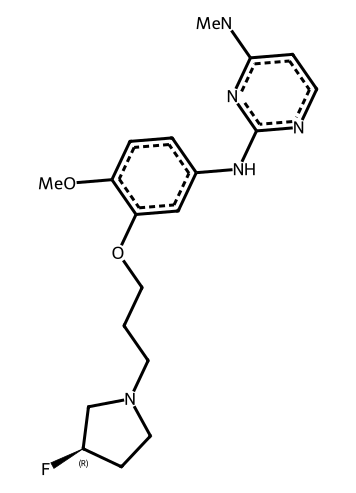 CNc1ccnc(Nc2ccc(OC)c(OCCCN3CC[C@@H](F)C3)c2)n1